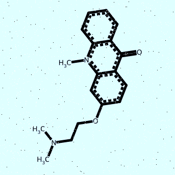 CN(C)CCOc1ccc2c(=O)c3ccccc3n(C)c2c1